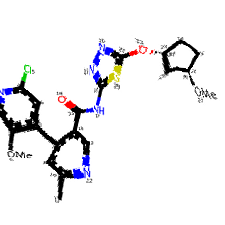 COc1cnc(Cl)cc1-c1cc(C)ncc1C(=O)Nc1nnc(O[C@@H]2CC[C@@H](OC)C2)s1